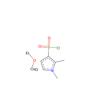 CCOC=O.Cc1c(S(=O)(=O)Cl)ccn1C